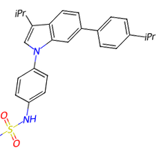 CC(C)c1ccc(-c2ccc3c(C(C)C)cn(-c4ccc(NS(N)(=O)=O)cc4)c3c2)cc1